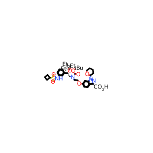 CC[Si](CC)(CC)O[C@H](CN(CCOc1ccc2c(C(=O)O)nn(C3CCCCO3)c2c1)C(=O)OC(C)(C)C)c1cccc(NS(=O)(=O)C2CCC2)c1